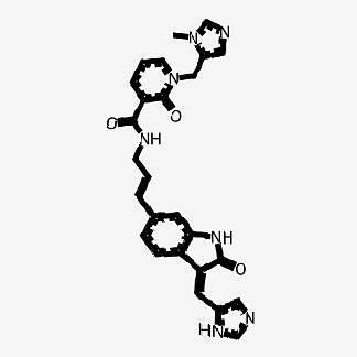 Cn1cncc1Cn1cccc(C(=O)NCC=Cc2ccc3c(c2)NC(=O)C3=Cc2cnc[nH]2)c1=O